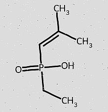 CCP(=O)(O)C=C(C)C